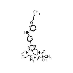 CCCCOc1cccc(Nc2ccc(-c3nc4c(c(N5CCOCC5C)n3)CCN(C(=O)C(C)(C)O)C4)cc2)n1